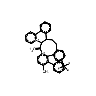 C=C1C2C(CCc3ccc(C(F)(F)F)cc3-c3c(-c4ccccc4)c(C)cc[n+]31)c1ccccc1-c1cccc[n+]12